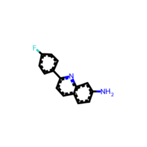 Nc1ccc2ccc(-c3ccc(F)cc3)nc2c1